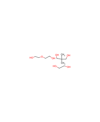 CC(C)(CO)CO.OCCO.OCCOCCO